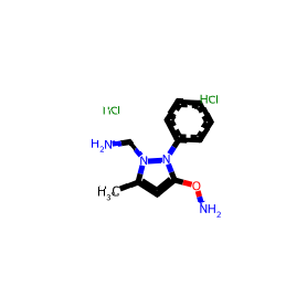 CC1=C=C(ON)N(c2ccccc2)N1CN.Cl.Cl